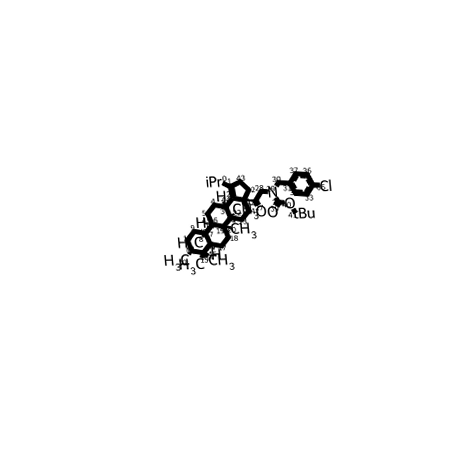 CC(C)C1=C2[C@H]3CC[C@@H]4[C@@]5(C)CC[C@H](C)C(C)(C)[C@@H]5CC[C@@]4(C)[C@]3(C)CC[C@@]2(C(=O)CN(Cc2ccc(Cl)cc2)C(=O)OC(C)(C)C)CC1